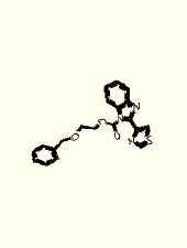 O=C(OCCOCc1ccccc1)n1c(-c2cscn2)nc2ccccc21